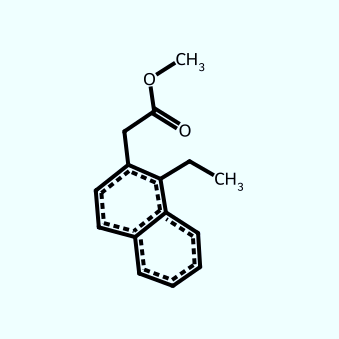 CCc1c(CC(=O)OC)ccc2ccccc12